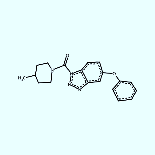 CC1CCN(C(=O)n2nnc3cc(Oc4ccccc4)ccc32)CC1